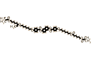 C=C(C)C(=O)OCCCCCC(=O)OCCCCCCCCOc1ccc(C(=O)Oc2ccc3cc(OC(=O)c4ccc(OCCCCCCCCOC(=CC)CCCCCOC(=O)C(=C)C)cc4)ccc3c2)cc1